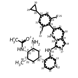 CC(=O)N[C@@H]1[C@H](N)C[C@H](c2ccncc2Nc2ncc3ccc(-c4c(F)cc(C5CC5)cc4F)nn23)C[C@@H]1C